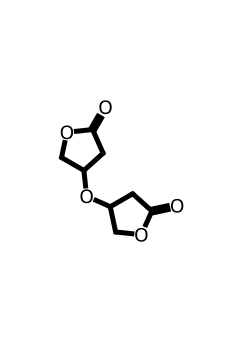 O=C1CC(OC2COC(=O)C2)CO1